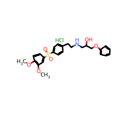 COc1ccc(S(=O)(=O)c2ccc(CCNCC(O)COc3ccccc3)cc2)cc1OC.Cl